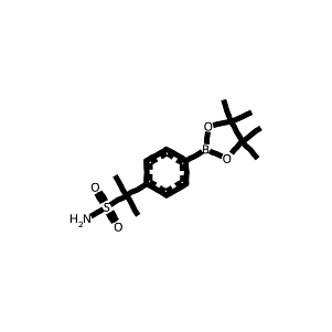 CC1(C)OB(c2ccc(C(C)(C)S(N)(=O)=O)cc2)OC1(C)C